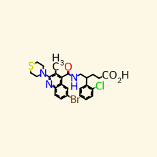 Cc1c(N2CCSCC2)nc2ccc(Br)cc2c1C(=O)NCC(CCC(=O)O)c1ccccc1Cl